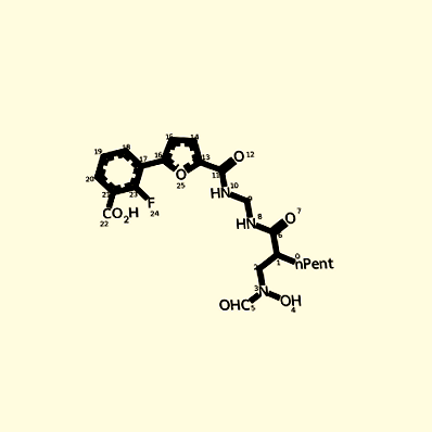 CCCCCC(CN(O)C=O)C(=O)NCNC(=O)c1ccc(-c2cccc(C(=O)O)c2F)o1